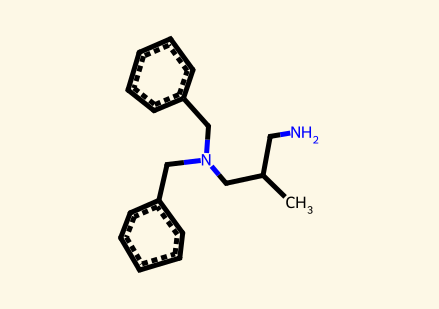 CC(CN)CN(Cc1ccccc1)Cc1ccccc1